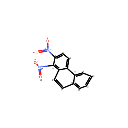 O=[N+]([O-])c1ccc2c(ccc3ccccc32)c1[N+](=O)[O-]